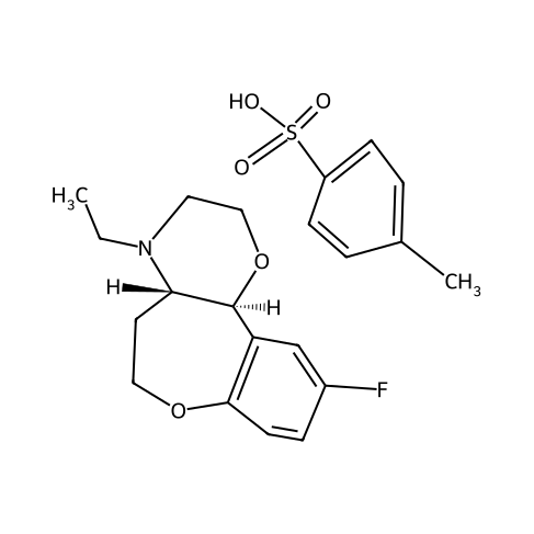 CCN1CCO[C@H]2c3cc(F)ccc3OCC[C@@H]21.Cc1ccc(S(=O)(=O)O)cc1